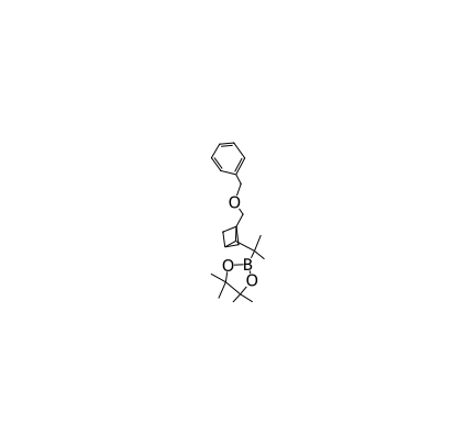 CC(C)(B1OC(C)(C)C(C)(C)O1)C1C2CC1(COCc1ccccc1)C2